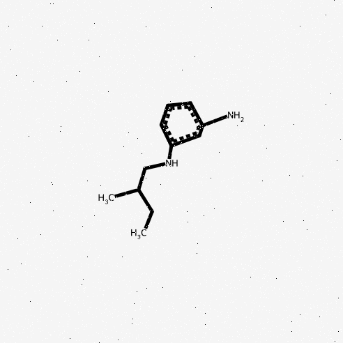 CCC(C)CNc1cccc(N)c1